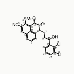 CSc1c(C#N)cc2ccccc2c1C(=O)N(C)CCCC(O)c1cccc(Cl)c1Cl